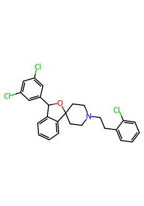 Clc1cc(Cl)cc(C2OC3(CCN(CCc4ccccc4Cl)CC3)c3ccccc32)c1